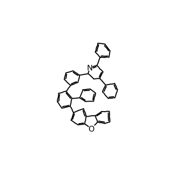 C1=C(c2ccccc2)CC(c2cccc(-c3cccc(-c4ccc5oc6ccccc6c5c4)c3-c3ccccc3)c2)N=C1c1ccccc1